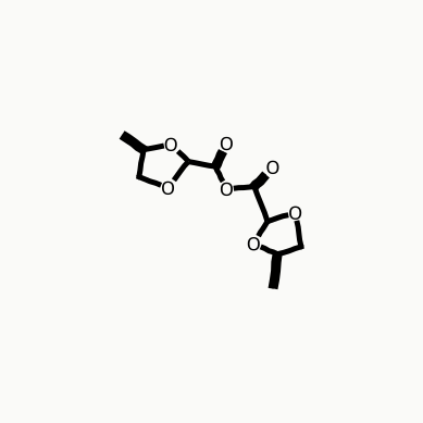 C=C1COC(C(=O)OC(=O)C2OCC(=C)O2)O1